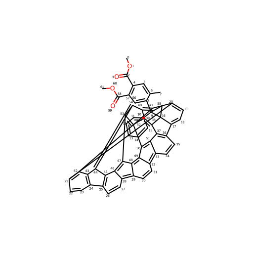 COC(=O)c1cc(C)c(C2(c3ccccc3)C34C5=CC=C6c7ccc8c9ccc%10c%11ccc%12c%13ccc5c5c3c3c%14c(c7c8c7c9c%10c8c%11c%12c(c5%13)c3c8c%147)C642)cc1C(=O)OC